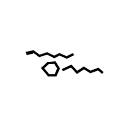 C1CCCCC1.C=CCCCCCC.CCCCCCC